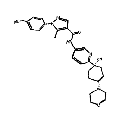 Cc1c(C(=O)Nc2ccc([C@]3(C#N)CC[C@@H](N4CCOCC4)CC3)nc2)cnn1-c1ccc(C#N)cc1